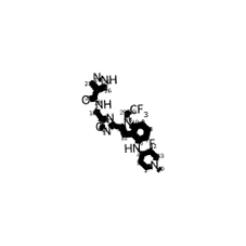 CN1CC[C@@H](Nc2cccc3c2cc(-c2noc(CNC(=O)c4cn[nH]c4)n2)n3CC(F)(F)F)[C@@H](F)C1